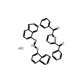 Cl.O=C(c1ccccc1)c1cccc(C(=O)c2ccccc2)n1.c1ccc2c([N]=[Fe]=[N]c3cccc4ccccc34)cccc2c1